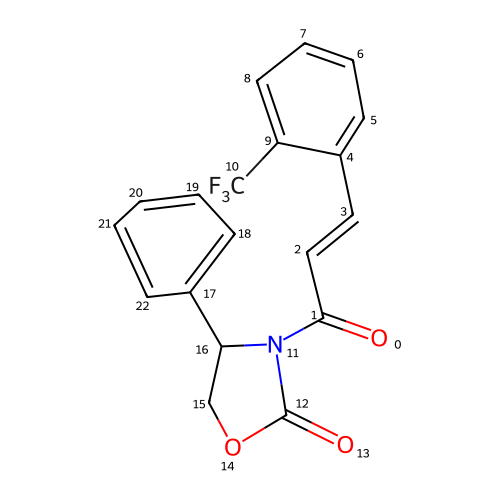 O=C(C=Cc1ccccc1C(F)(F)F)N1C(=O)OCC1c1ccccc1